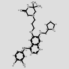 CC1(C)CN(CCCOc2cc3c(Nc4ccc(F)c(Cl)c4)ncnc3cc2OCC2CCCO2)CC(=O)O1